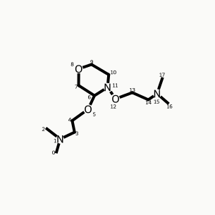 CN(C)CCOC1COCCN1OCCN(C)C